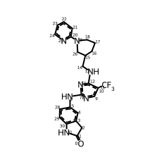 O=C1Cc2cc(Nc3ncc(C(F)(F)F)c(NCC4CCCN(c5ccccn5)C4)n3)ccc2N1